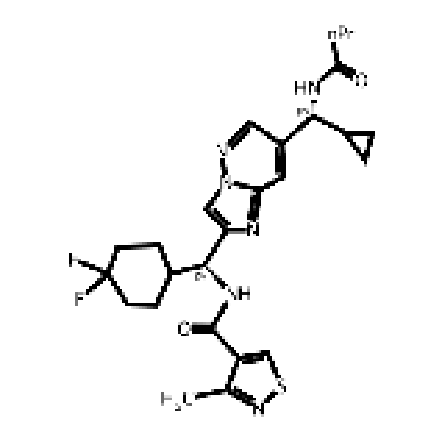 CCCC(=O)N[C@@H](c1cnn2cc([C@@H](NC(=O)c3csnc3C)C3CCC(F)(F)CC3)nc2c1)C1CC1